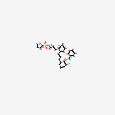 Cc1cccc(CC=Cc2ccccc2C=CC(=O)NS(=O)(=O)c2cccs2)c1OCc1ccccc1